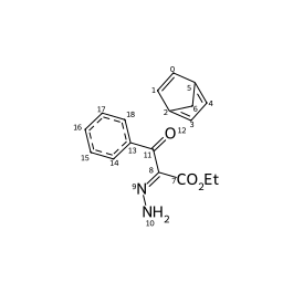 C1=CC2=CC=C1C2.CCOC(=O)C(=NN)C(=O)c1ccccc1